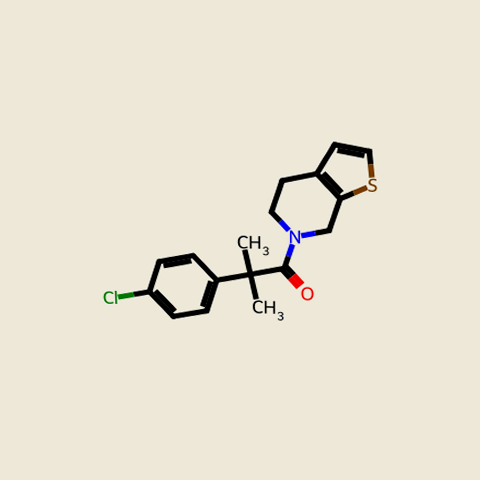 CC(C)(C(=O)N1CCc2ccsc2C1)c1ccc(Cl)cc1